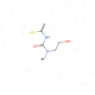 C=C(S)NC(=O)N(CCO)C(C)C